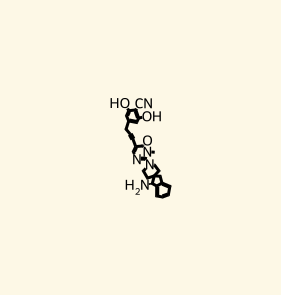 Cn1c(N2CCC3(CC2)Cc2ccccc2[C@H]3N)ncc(C#CCc2cc(O)c(C#N)c(O)c2)c1=O